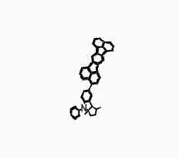 CC1CCC2(C)C1c1cc(-c3ccc4c5cc6c(cc5c5cccc3c54)c3cccc4cccc6c43)ccc1N2c1ccccc1